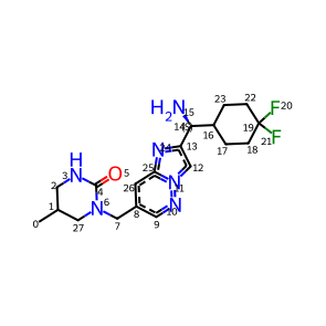 CC1CNC(=O)N(Cc2cnn3cc([C@@H](N)C4CCC(F)(F)CC4)nc3c2)C1